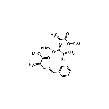 C=C(CC)C(=O)OCCCCCC.C=C(CC=Cc1ccccc1)C(=O)OC.C=CC(=O)OCCCC